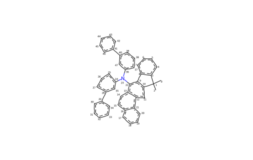 CC1(C)c2ccccc2-c2c1cc1c(ccc3ccccc31)c2N(c1cccc(-c2ccccc2)c1)c1cccc(-c2ccccc2)c1